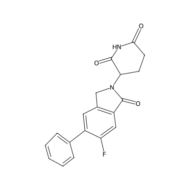 O=C1CCC(N2Cc3cc(-c4ccccc4)c(F)cc3C2=O)C(=O)N1